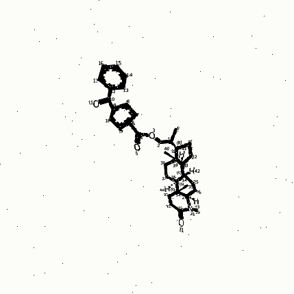 CC(COC(=O)c1ccc(C(=O)c2ccccc2)cc1)[C@H]1CC[C@H]2[C@@H]3CC[C@H]4N(C)C(=O)CC[C@]4(C)[C@H]3CC[C@]12C